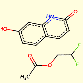 CC(=O)OCC(F)F.O=c1ccc2ccc(O)cc2[nH]1